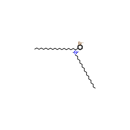 CCCCCCCCCCCCCCCCCCC(c1ccccc1)[N+](C)(C)CCCCCCCCCCCCCCCCCC.[Br-]